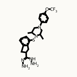 CC1CN(c2ccc(OC(F)(F)F)cc2)CC(C)N1Sc1cccc2c1CC(/C(=N/N)NN)C2